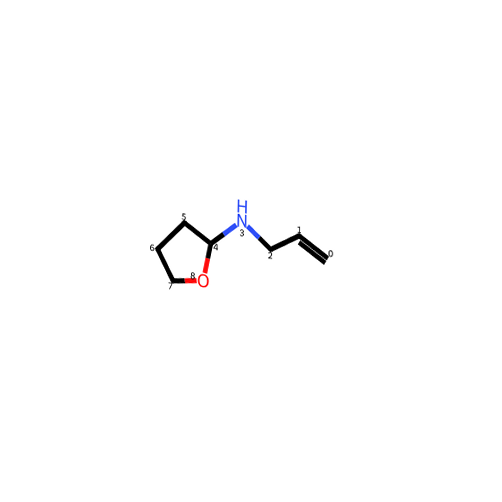 C=CCNC1CCCO1